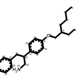 CCCCC(CC)COc1ccc(C(CN)Cc2ccccc2)cc1